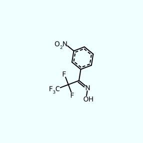 O=[N+]([O-])c1cccc(C(=NO)C(F)(F)C(F)(F)F)c1